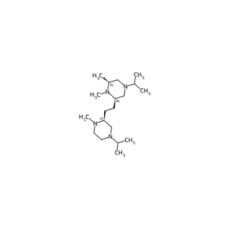 CC(C)N1CCN(C)[C@@H](CC[C@@H]2CN(C(C)C)C[C@H](C)N2C)C1